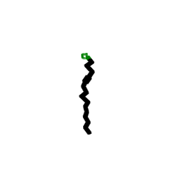 CCCCCCCCCCC#CCCCCl